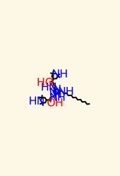 CCCCCCCCCCCCNc1nc(NCC(O)C2CC(C)(C)NC(C)(C)C2)nc(NCC(O)C2CC(C)(C)NC(C)(C)C2)n1